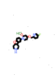 Cl.O=c1cc(OCc2ccc(F)cn2)ccn1-c1ccc2oc3c(c2c1)CCNCC3